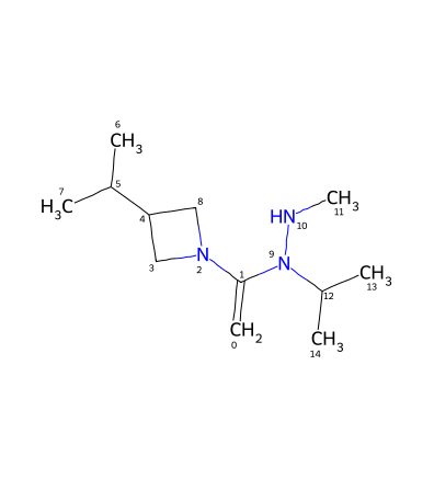 C=C(N1CC(C(C)C)C1)N(NC)C(C)C